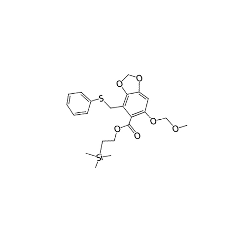 COCOc1cc2c(c(CSc3ccccc3)c1C(=O)OCC[Si](C)(C)C)OCO2